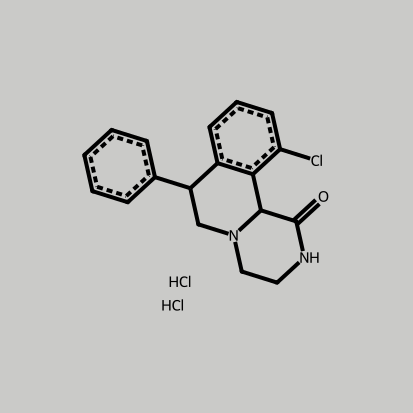 Cl.Cl.O=C1NCCN2CC(c3ccccc3)c3cccc(Cl)c3C12